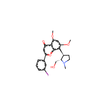 COc1cc(OC)c2c(=O)cc(-c3cccc(I)c3)oc2c1[C@H]1CCN(C)[C@@H]1CO